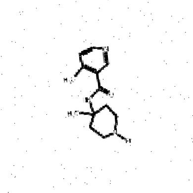 CCN1CCC(C)(NC(=O)c2cnccc2C)CC1